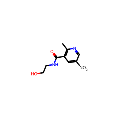 Cc1ncc([N+](=O)[O-])cc1C(=O)NCCO